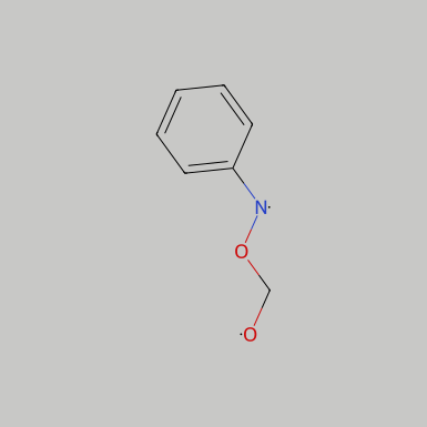 [O]CO[N]c1ccccc1